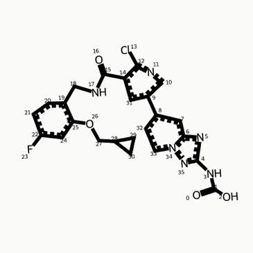 O=C(O)Nc1nc2cc(-c3cnc(Cl)c(C(=O)NCc4ccc(F)cc4OCC4CC4)c3)ccn2n1